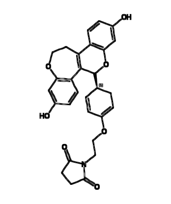 O=C1CCC(=O)N1CCOC1=CC[C@H](C2Oc3cc(O)ccc3C3=C2c2ccc(O)cc2OCC3)C=C1